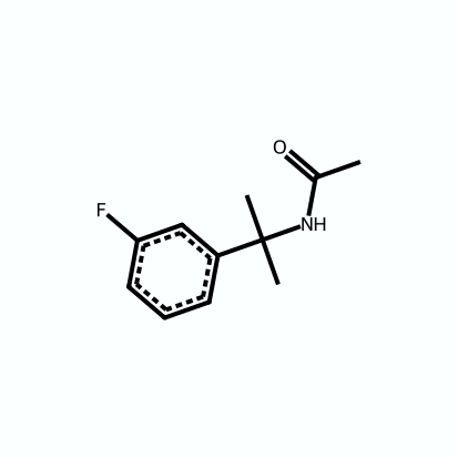 CC(=O)NC(C)(C)c1cccc(F)c1